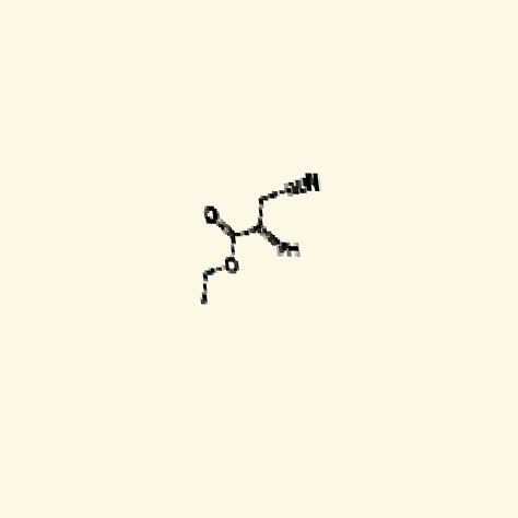 CCOC(=O)C(=P)CC#N